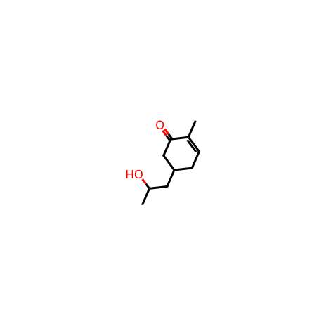 CC1=CCC(CC(C)O)CC1=O